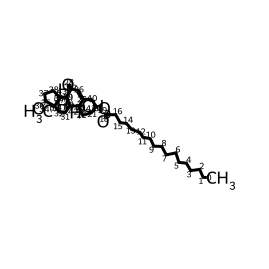 CCCCCCCCCCCCCCCCCC(=O)O[C@H]1CC[C@@]2(C)C(=CC(=O)[C@@H]3[C@@H]2CC[C@]2(C)C(=O)CC[C@@H]32)C1